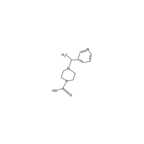 CC(c1cccnc1)N1CCN(C(=O)O)CC1